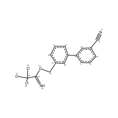 N#Cc1cccc(-c2cccc(COC(=N)C(Cl)(Cl)Cl)c2)c1